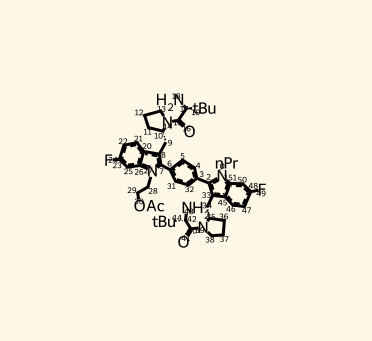 CCCn1c(-c2ccc(-c3c(C[C@@H]4CCCN4C(=O)[C@@H](N)C(C)(C)C)c4ccc(F)cc4n3CCOC(C)=O)cc2)c(C[C@@H]2CCCN2C(=O)[C@@H](N)C(C)(C)C)c2ccc(F)cc21